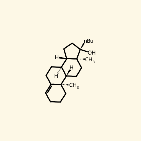 CCCC[C@]1(O)CC[C@H]2[C@@H]3CCC4=CCCC[C@]4(C)[C@H]3CC[C@@]21C